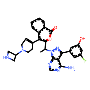 CC(c1oc(=O)c2ccccc2c1C1=CCN(C2CNC2)CC1)n1nc(-c2cc(O)cc(F)c2)c2c(N)ncnc21